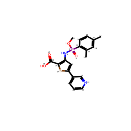 COP(=O)(Nc1cc(-c2cccnc2)sc1C(=O)O)c1ccc(C)cc1C